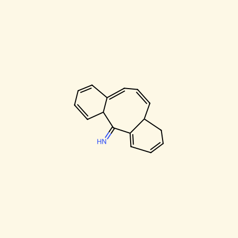 N=C1C2=CC=CCC2/C=C\C=C2\C=CC=CC12